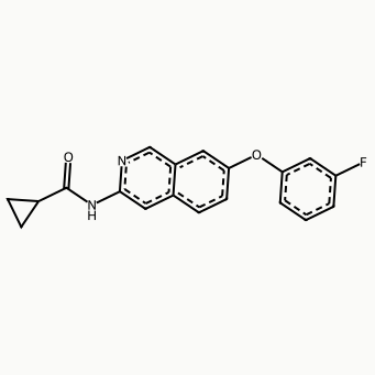 O=C(Nc1cc2ccc(Oc3cccc(F)c3)cc2cn1)C1CC1